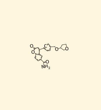 NC(=O)c1ccc2oc(=O)cc(-c3ccc(COC4CCOC4)cc3)c2c1